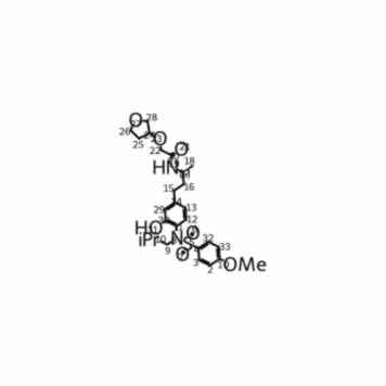 COc1ccc(S(=O)(=O)N(CC(C)C)c2ccc(CC[C@H](C)NC(=O)COC3CCOC3)cc2O)cc1